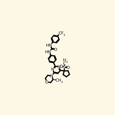 C[C@H]1COCCN1c1cc(C2(S(C)(=O)=O)CCCC2)nc(-c2ccc(NC(=O)Nc3ccc(C(F)(F)F)cc3)cc2)n1